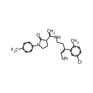 C=C(NCC/C(=C/CCC)c1cc(Cl)ccc1C)C1CCN(c2ccc(C(F)(F)F)cc2)C1=O